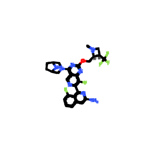 CN1C[C@@H](C(F)(F)F)[C@H]1COc1nc(N2CC3CCC(C2)N3)c2cnc(-c3nc(N)cc4cccc(F)c34)c(F)c2n1